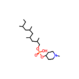 CCC(C)CC(C)CC(C)CC(C)COP(=O)(O)OC1CCN(C)CC1